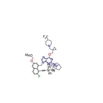 COCOc1cc(Cn2cnc3c(OCC4(CN5CCC(C(F)(F)F)CC5)CC4)nc(N4CC5CC[C@@H](C4)N5C(=O)O)nc32)c2c(C#C[Si](C(C)C)(C(C)C)C(C)C)c(F)ccc2c1